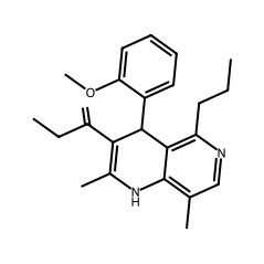 C=C(CC)C1=C(C)Nc2c(C)cnc(CCC)c2C1c1ccccc1OC